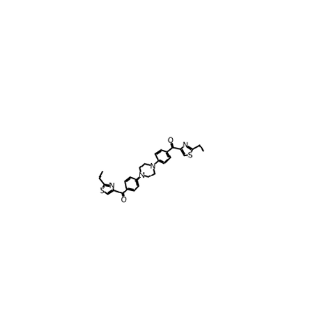 CCc1nc(C(=O)c2ccc(N3CCN(c4ccc(C(=O)c5csc(CC)n5)cc4)CC3)cc2)cs1